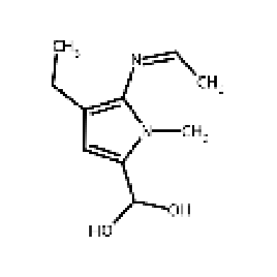 C/C=N\c1c(CC)cc(C(O)O)n1C